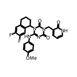 COc1ccc(Nc2nc(=O)n(Cc3ccc[nH]c3=O)c(=O)n2C2CCCc3cc(F)c(F)cc32)cc1